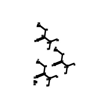 CC(=O)CC(=O)N(C)C.CC(=O)CC(=O)N(C)C.CC(=O)CC(=O)N(C)C.[Fe]